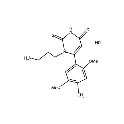 COc1cc(-c2cc(=O)[nH]c(=S)n2CCCN)c(OC)cc1C.Cl